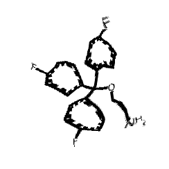 NCCOC(c1ccc(F)cc1)(c1ccc(F)cc1)c1ccc(F)cc1